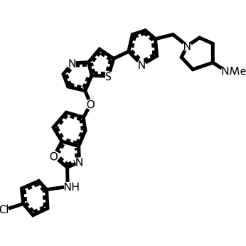 CNC1CCN(Cc2ccc(-c3cc4nccc(Oc5ccc6oc(Nc7ccc(Cl)cc7)nc6c5)c4s3)nc2)CC1